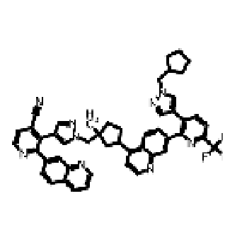 CC1(Cn2cc(-c3c(C#N)ccnc3-c3ccc4cccnc4c3)cn2)CCC(c2ccnc3cc(-c4nc(C(F)(F)F)ccc4-c4cnn(CC5CCCC5)c4)ccc23)C1